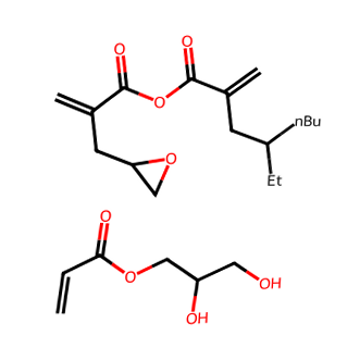 C=C(CC(CC)CCCC)C(=O)OC(=O)C(=C)CC1CO1.C=CC(=O)OCC(O)CO